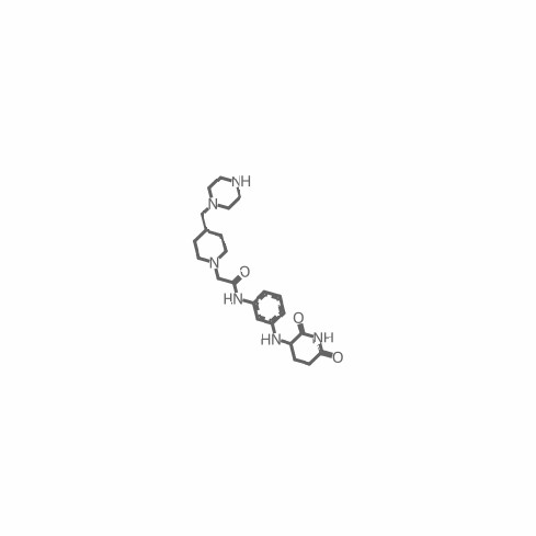 O=C1CCC(Nc2cccc(NC(=O)CN3CCC(CN4CCNCC4)CC3)c2)C(=O)N1